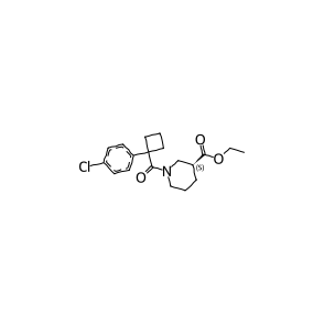 CCOC(=O)[C@H]1CCCN(C(=O)C2(c3ccc(Cl)cc3)CCC2)C1